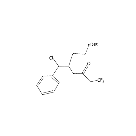 CCCCCCCCCCCCC(CC(=O)CC(F)(F)F)C(Cl)c1ccccc1